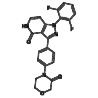 O=C1COCCN1c1ccc(-c2nn(-c3c(F)cccc3F)c3cc[nH]c(=O)c23)cc1